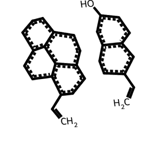 C=Cc1ccc2cc(O)ccc2c1.C=Cc1ccc2ccc3cccc4ccc1c2c34